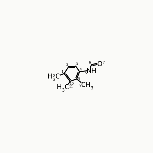 Cc1ccc(NC=O)c(C)c1C